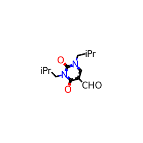 CC(C)Cn1cc(C=O)c(=O)n(CC(C)C)c1=O